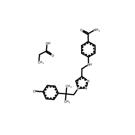 CC(C)(Cn1cc(CNc2ccc(C(N)=O)cc2)nn1)c1ccc(Cl)cc1.CCC(=O)O